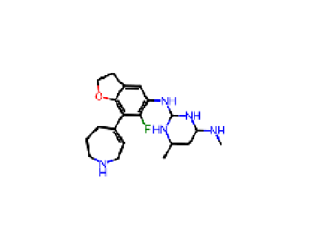 CNC1CC(C)NC(Nc2cc3c(c(C4=CCNCCC4)c2F)OCC3)N1